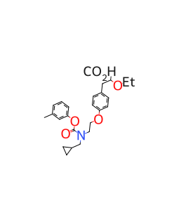 CCOC(Cc1ccc(OCCN(CC2CC2)C(=O)Oc2cccc(C)c2)cc1)C(=O)O